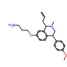 C=CCC1c2cc(OCCCN)ccc2C(c2ccc(OC)cc2)CN1C